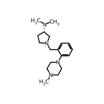 CN1CCN(c2ccccc2CN2CC[C@H](N(C)C)C2)CC1